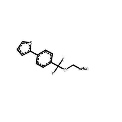 CCCCCCCCCCOC(F)(F)c1ccc(-c2cccs2)cc1